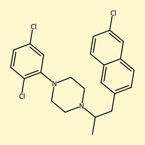 CC(Cc1ccc2cc(Cl)ccc2c1)N1CCN(c2cc(Cl)ccc2Cl)CC1